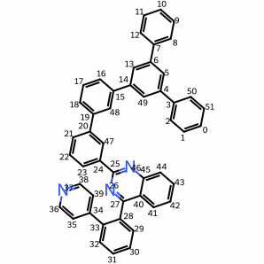 c1ccc(-c2cc(-c3ccccc3)cc(-c3cccc(-c4cccc(-c5nc(-c6ccccc6-c6ccncc6)c6ccccc6n5)c4)c3)c2)cc1